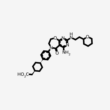 Nc1nc(NCCC2CCCCO2)nc2c1C(=O)N(c1ccc([C@H]3CC[C@H](CC(=O)O)CC3)cc1)CCO2